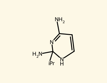 CC(C)C1(N)N=C(N)C=CN1